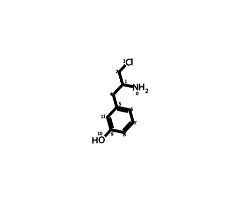 NC(CCl)Cc1cccc(O)c1